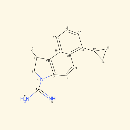 CC1CN(C(=N)N)c2ccc3c(C4CC4)cccc3c21